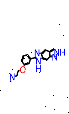 CN(C)CCOc1cccc(-c2nc3cc4c[nH]nc4cc3[nH]2)c1